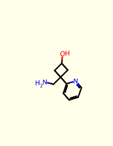 NCC1(c2ccccn2)CC(O)C1